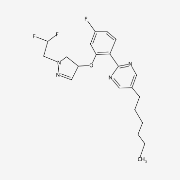 CCCCCCc1cnc(-c2ccc(F)cc2OC2C=NN(CC(F)F)C2)nc1